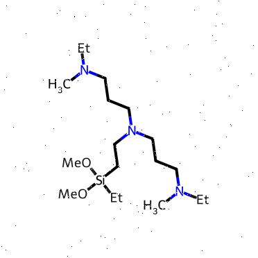 CCN(C)CCCN(CCCN(C)CC)CC[Si](CC)(OC)OC